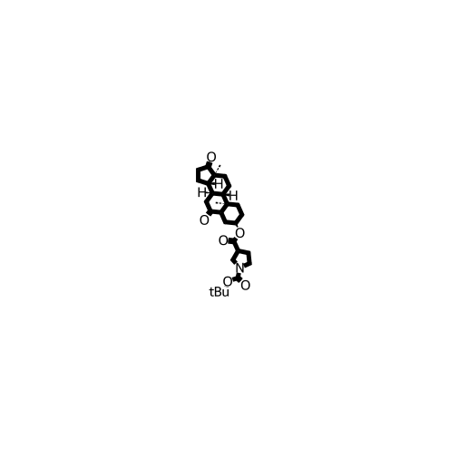 CC(C)(C)OC(=O)N1CCC(C(=O)O[C@H]2CC[C@@]3(C)C(C2)C(=O)C[C@@H]2[C@@H]3CC[C@]3(C)C(=O)CC[C@@H]23)C1